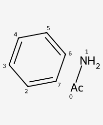 CC(N)=O.c1ccccc1